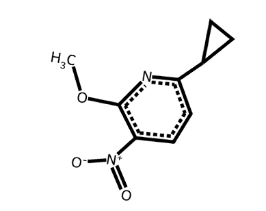 COc1nc(C2CC2)ccc1[N+](=O)[O-]